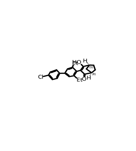 CCc1cc(-c2ccc(Cl)cc2)cc(CC)c1C1=C(O)[C@H]2CC[C@H](C2)C1=O